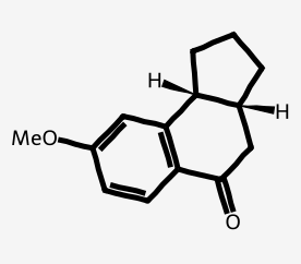 COc1ccc2c(c1)[C@@H]1CCC[C@@H]1CC2=O